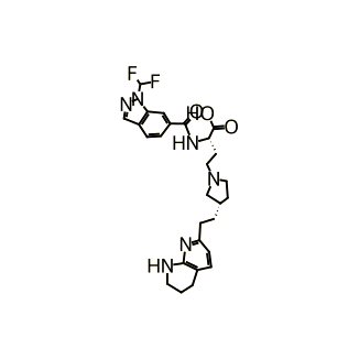 O=C(N[C@@H](CCN1CC[C@H](CCc2ccc3c(n2)NCCC3)C1)C(=O)O)c1ccc2cnn(C(F)F)c2c1